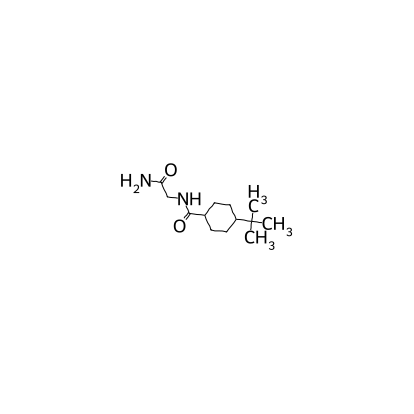 CC(C)(C)C1CCC(C(=O)NCC(N)=O)CC1